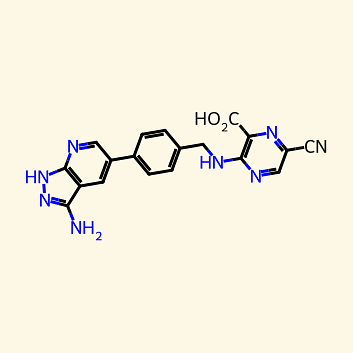 N#Cc1cnc(NCc2ccc(-c3cnc4[nH]nc(N)c4c3)cc2)c(C(=O)O)n1